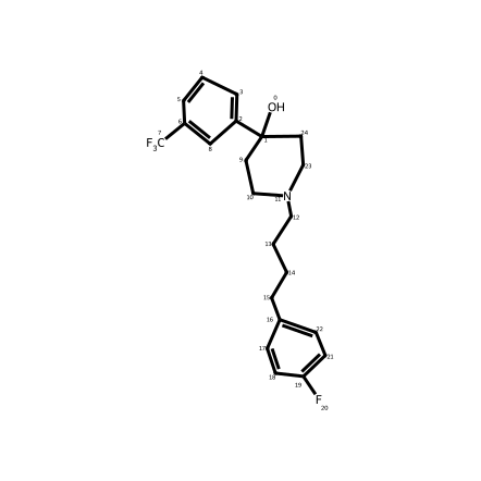 OC1(c2cccc(C(F)(F)F)c2)CCN(CCCCc2ccc(F)cc2)CC1